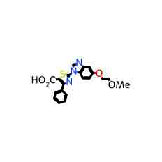 COCCOc1ccc2c(c1)ncn2-c1nc(-c2ccccc2)c(C(=O)O)s1